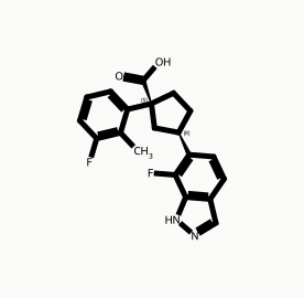 Cc1c(F)cccc1[C@]1(C(=O)O)CC[C@@H](c2ccc3cn[nH]c3c2F)C1